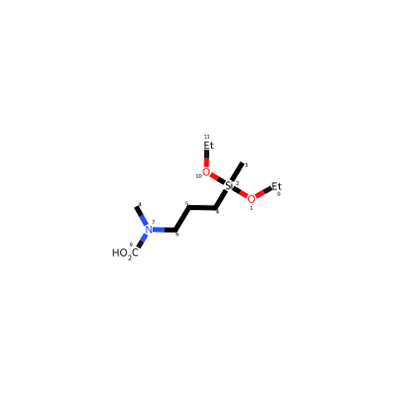 CCO[Si](C)(CCCN(C)C(=O)O)OCC